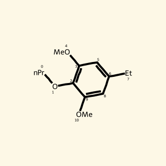 CCCOc1c(OC)cc(CC)cc1OC